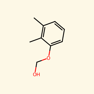 Cc1cccc(OCO)c1C